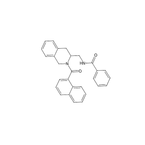 O=C(NCC1Cc2ccccc2CN1C(=O)c1cccc2ccccc12)c1ccccc1